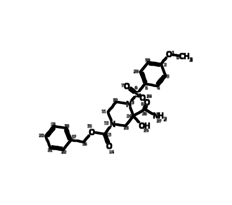 COc1ccc(S(=O)(=O)N2CCN(C(=O)OCc3ccccc3)CC2(O)C(N)=O)cc1